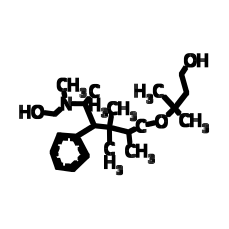 CC(C(c1ccccc1)C(C)(C)C(C)COC(C)(C)CCO)N(C)CO